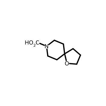 O=C(O)N1CCC2(CCCO2)CC1